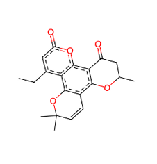 CCc1cc(=O)oc2c3c(c4c(c12)OC(C)(C)C=C4)OC(C)CC3=O